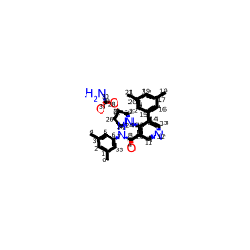 Cc1cc(C)cc(NC(=O)c2cncc(-c3cc(C)cc(C)c3)c2N2CC[C@H](OC(N)=O)C2)c1